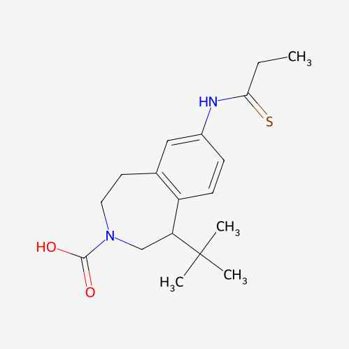 CCC(=S)Nc1ccc2c(c1)CCN(C(=O)O)CC2C(C)(C)C